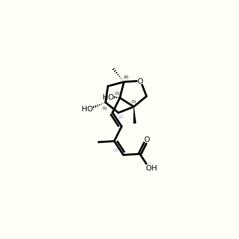 CC(=C/C(=O)O)/C=C/[C@]1(O)[C@]2(C)CO[C@]1(C)C[C@@H](O)C2